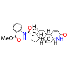 COC(=O)c1ccccc1NC(=O)[C@H]1CC[C@H]2[C@@H]3CC[C@H]4NC(=O)C=C[C@]4(C)[C@H]3CC[C@]12C